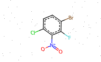 O=[N+]([O-])c1c(Cl)ccc(Br)c1F